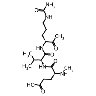 CN[C@@H](CCC(=O)O)C(=O)N[C@H](C(=O)N[C@@H](CCCNC(N)=O)C(C)=O)C(C)C